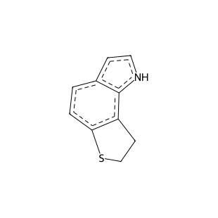 c1cc2ccc3c(c2[nH]1)CCS3